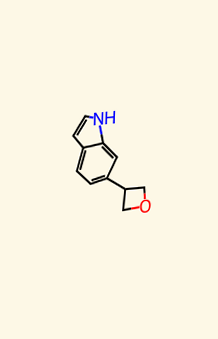 c1cc2ccc(C3COC3)cc2[nH]1